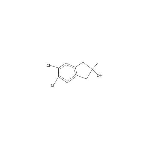 CC1(O)Cc2cc(Cl)c(Cl)cc2C1